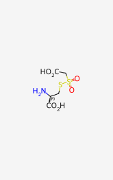 N[C@@H](CSS(=O)(=O)CC(=O)O)C(=O)O